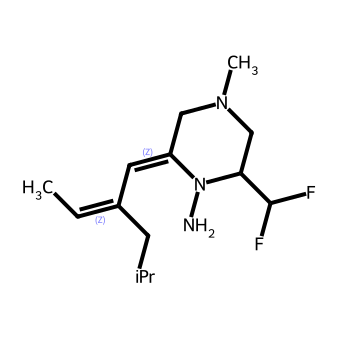 C/C=C(\C=C1\CN(C)CC(C(F)F)N1N)CC(C)C